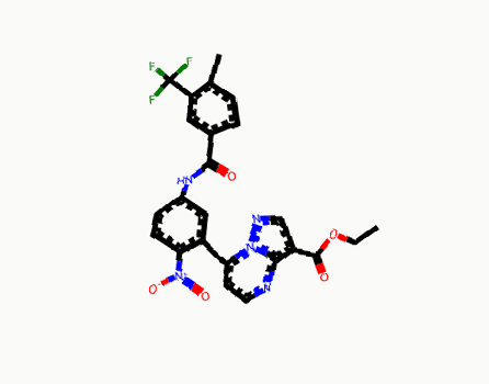 CCOC(=O)c1cnn2c(-c3cc(NC(=O)c4ccc(C)c(C(F)(F)F)c4)ccc3[N+](=O)[O-])ccnc12